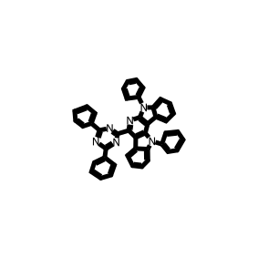 c1ccc(-c2nc(-c3ccccc3)nc(-c3nc4c(c5ccccc5n4-c4ccccc4)c4c3c3ccccc3n4-c3ccccc3)n2)cc1